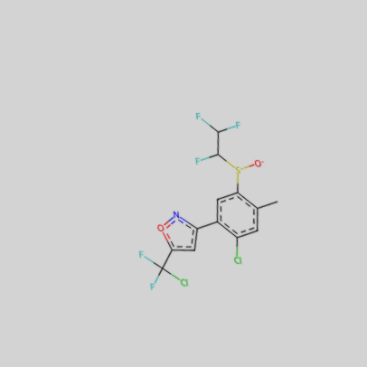 Cc1cc(Cl)c(-c2cc(C(F)(F)Cl)on2)cc1[S+]([O-])C(F)C(F)F